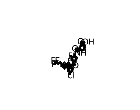 O=C(Nc1ccc(Cl)cc1N1CCN(CCC(F)(F)F)CC1)c1ccc(CNC(=O)C2CCCN(C(=O)O)C2)c(F)c1F